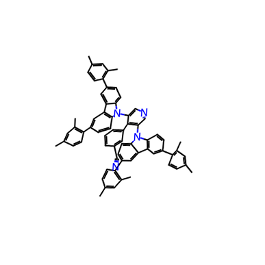 Cc1ccc(-c2ccc3c(c2)c2cc(-c4ccc(C)cc4C)ccc2n3-c2cncc(-n3c4ccc(-c5ccc(C)cc5C)cc4c4cc(-c5ccc(C)cc5C)ccc43)c2-c2cccc(C#N)c2)c(C)c1